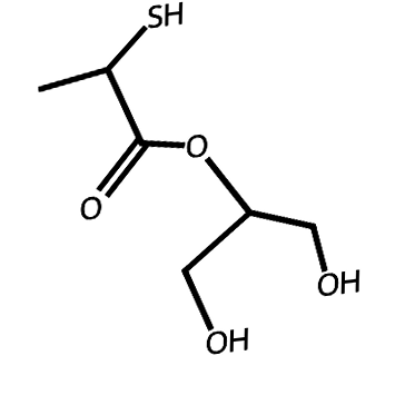 CC(S)C(=O)OC(CO)CO